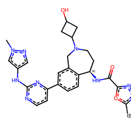 Cn1cc(Nc2nccc(-c3ccc4c(c3)CN(C3CC(O)C3)CC[C@H]4NC(=O)c3nnc(C(C)(C)C)o3)n2)cn1